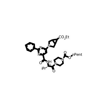 CCCCCOC(=O)N1CCN(C(=O)[C@@H](NC(=O)c2cc(N3CC4C(C3)C4C(=O)OCC)nc(-c3ccccc3)n2)C(C)C)CC1